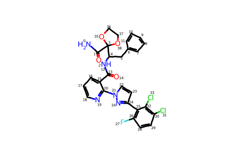 NC(=O)C1(C(Cc2ccccc2)NC(=O)c2cccnc2-n2ccc(-c3c(F)ccc(Cl)c3Cl)n2)OCCO1